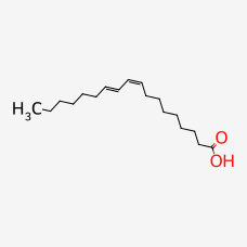 CCCCCC/C=C/C=C\CCCCCCCC(=O)O